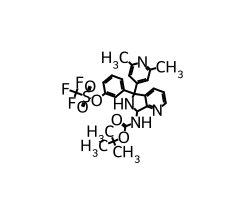 Cc1cc(C2(c3cccc(OS(=O)(=O)C(F)(F)F)c3)NC(NC(=O)OC(C)(C)C)c3ncccc32)cc(C)n1